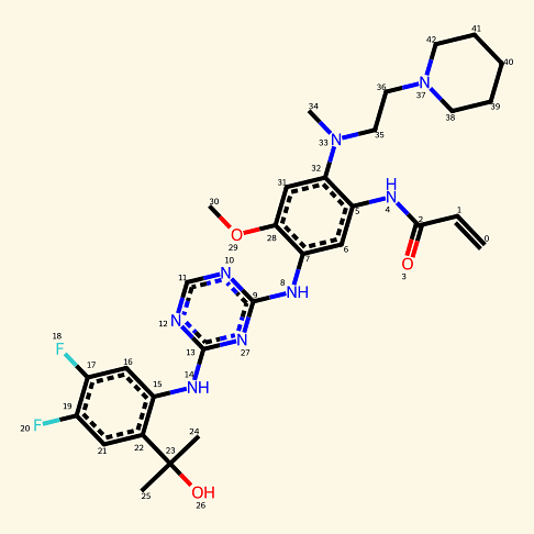 C=CC(=O)Nc1cc(Nc2ncnc(Nc3cc(F)c(F)cc3C(C)(C)O)n2)c(OC)cc1N(C)CCN1CCCCC1